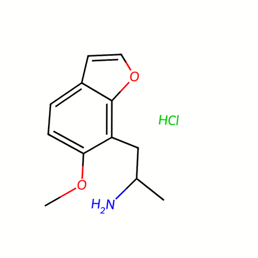 COc1ccc2ccoc2c1CC(C)N.Cl